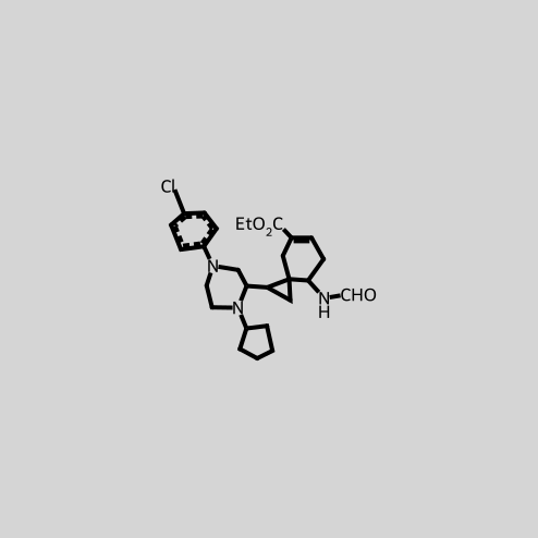 CCOC(=O)C1=CCC(NC=O)C2(C1)CC2C1CN(c2ccc(Cl)cc2)CCN1C1CCCC1